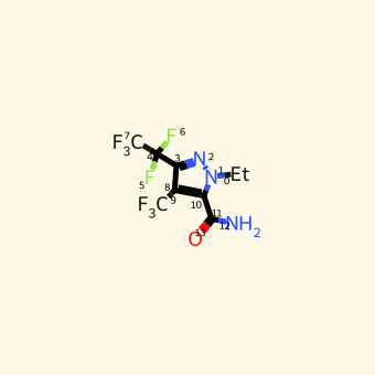 CCn1nc(C(F)(F)C(F)(F)F)c(C(F)(F)F)c1C(N)=O